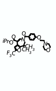 CC(C)OC(=O)C1=CN(C(=O)c2ccc(OCCN3CCOCC3)cc2)CC(C)(C)c2oc(C(F)(F)F)cc21